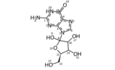 Nc1nc2c(ncn2C2(O)O[C@H](CO)C(O)C2O)c(=O)[nH]1